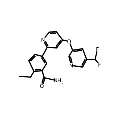 CCc1ccc(-c2cc(Oc3cncc(C(F)F)c3)ccn2)cc1C(N)=O